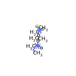 C=C(/N=C(\N=C(/C)c1cccs1)C1=CCCC=C1)c1ccc(C(C)(C)c2ccc(-c3nc(/C(C)=C/C=C\CC)nc(-c4ccccc4)n3)cc2)cc1